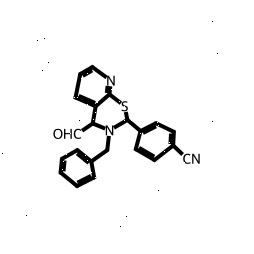 N#Cc1ccc(C2Sc3ncccc3C(C=O)N2Cc2ccccc2)cc1